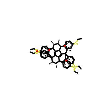 CCSc1ccc(C23C4=C5C6C7=C4C(c4ccc(SCC)cc4)([C@H](C)[C@@H]2C)[C@@H](C)[C@@H](C)C7(c2ccc(SCC)cc2)[C@@H](C)[C@@H](C)C6(c2ccc(SCC)cc2)[C@@H](C)[C@@H](C)C5(c2ccc(SCC)cc2)[C@@H](C)[C@H]3C)cc1